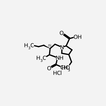 CCC[C@@H](CN1CC(CO)CC1C(=O)O)C(C)NC(C)=O.Cl